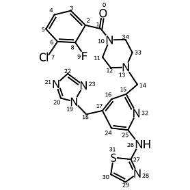 O=C(c1cccc(Cl)c1F)N1CCN(Cc2cc(Cn3cncn3)cc(Nc3nccs3)n2)CC1